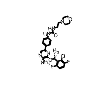 CC(Oc1nc(-c2ccc(NC(=O)NCCN3CCOCC3)cc2)cnc1N)c1c(F)ccc(F)c1Cl